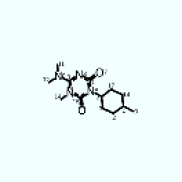 CC1CCC(n2c(=O)nc(N(C)C)n(C)c2=O)CC1